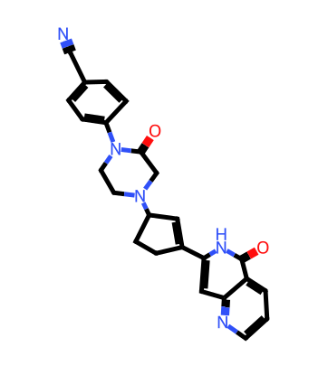 N#Cc1ccc(N2CCN(C3C=C(c4cc5ncccc5c(=O)[nH]4)CC3)CC2=O)cc1